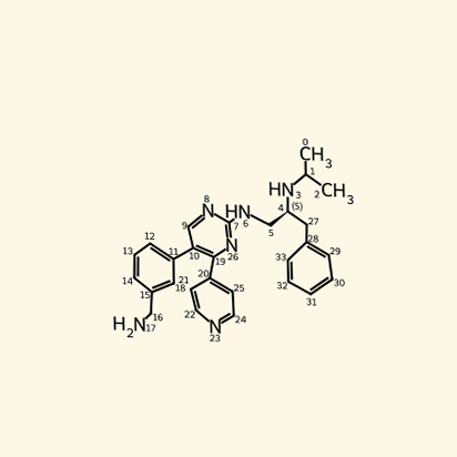 CC(C)N[C@H](CNc1ncc(-c2cccc(CN)c2)c(-c2ccncc2)n1)Cc1ccccc1